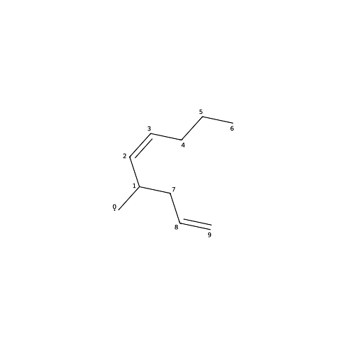 [CH2]C(/C=C\CCC)CC=C